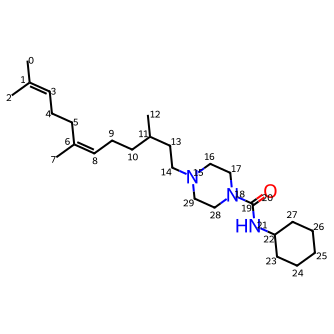 CC(C)=CCCC(C)=CCCC(C)CCN1CCN(C(=O)NC2CCCCC2)CC1